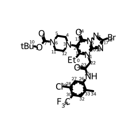 CCc1c(N2CCN(C(=O)OC(C)(C)C)CC2)c(=O)n2nc(Br)nc2n1CC(=O)Nc1cc(Cl)c(C(F)(F)F)cc1C